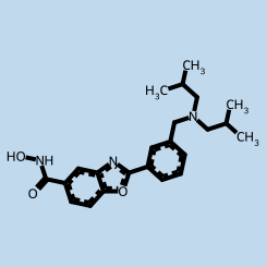 CC(C)CN(Cc1cccc(-c2nc3cc(C(=O)NO)ccc3o2)c1)CC(C)C